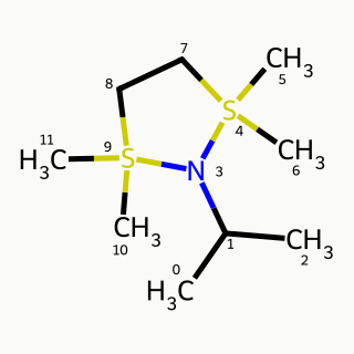 CC(C)N1S(C)(C)CCS1(C)C